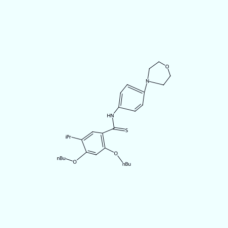 CCCCOc1cc(OCCCC)c(C(C)C)cc1C(=S)Nc1ccc(N2CCOCC2)cc1